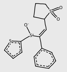 O=S1(=O)CCCC1C=C(c1ccccc1)[S+]([O-])c1cccs1